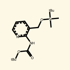 CC(C)(C)OC(=O)Nc1ncccc1CO[Si](C)(C)C(C)(C)C